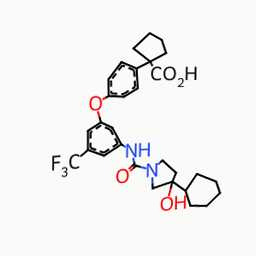 O=C(Nc1cc(Oc2ccc(C3(C(=O)O)CCCC3)cc2)cc(C(F)(F)F)c1)N1CCC(O)(C2CCCCC2)C1